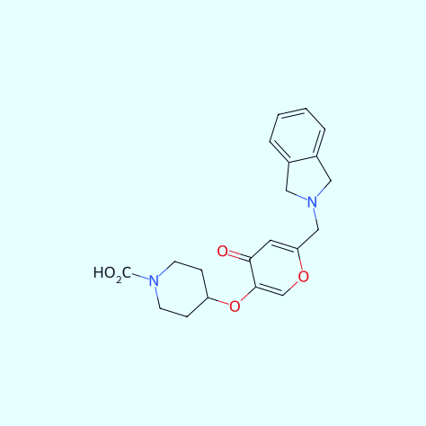 O=C(O)N1CCC(Oc2coc(CN3Cc4ccccc4C3)cc2=O)CC1